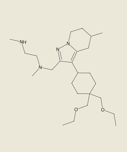 CCOCC1(COCC)CCC(c2c(CN(C)CCNC)nn3c2CC(C)CC3)CC1